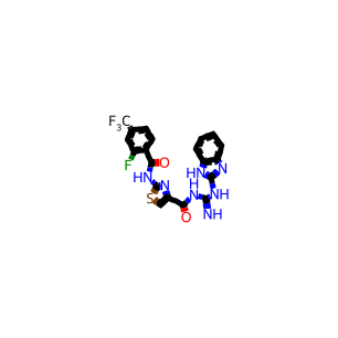 N=C(NC(=O)c1csc(NC(=O)c2ccc(C(F)(F)F)cc2F)n1)Nc1nc2ccccc2[nH]1